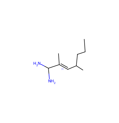 CCCC(C)/C=C(\C)C(N)N